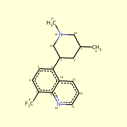 CC1CC(c2ccc(C(F)(F)F)c3ncccc23)CN(C)C1